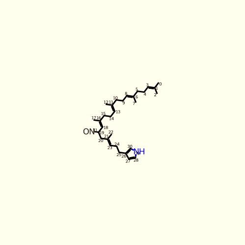 CC(C)=CCC/C(C)=C/CC/C(C)=C/CC/C(C)=C/C(C/C(C)=C/CCc1cc[nH]c1)N=O